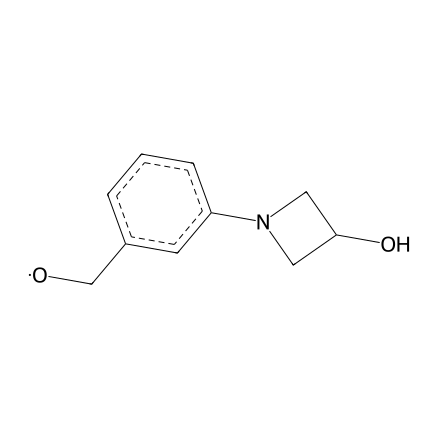 [O]Cc1cccc(N2CC(O)C2)c1